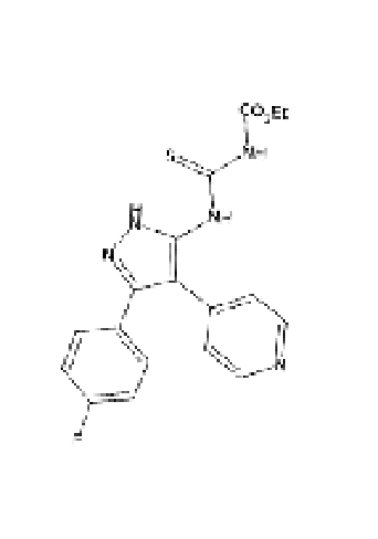 CCOC(=O)NC(=S)Nc1[nH]nc(-c2ccc(F)cc2)c1-c1ccncc1